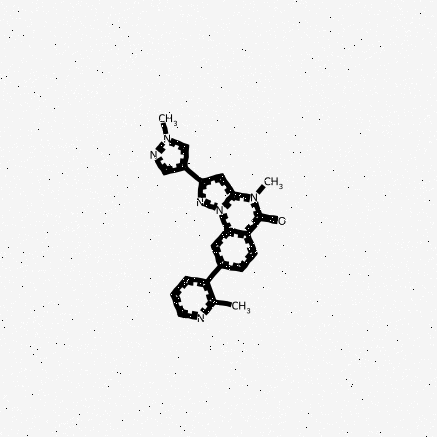 Cc1ncccc1-c1ccc2c(=O)n(C)c3cc(-c4cnn(C)c4)nn3c2c1